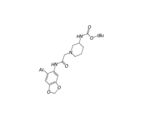 CC(=O)c1cc2c(cc1NC(=O)CN1CCCC(NC(=O)OC(C)(C)C)C1)OCO2